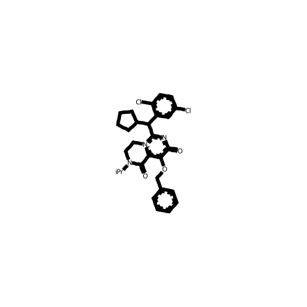 CC(C)N1CCn2c(C(c3cc(Cl)ccc3Cl)C3CCCC3)nc(=O)c(OCc3ccccc3)c2C1=O